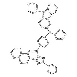 c1ccc(-c2nc3c(-c4ccc(N(c5ccccc5)c5ccc6c(c5)c5ccccc5n6-c5ccccc5)cc4)cc4c5ccccc5ccc4c3s2)cc1